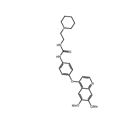 COc1cc2nccc(Oc3ccc(NC(=O)NCCN4CCCCC4)cc3)c2cc1OC